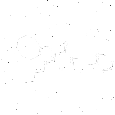 CCCCn1c2c(cc(C(=O)NCCc3ccccn3)c1=O)CCCCCC2